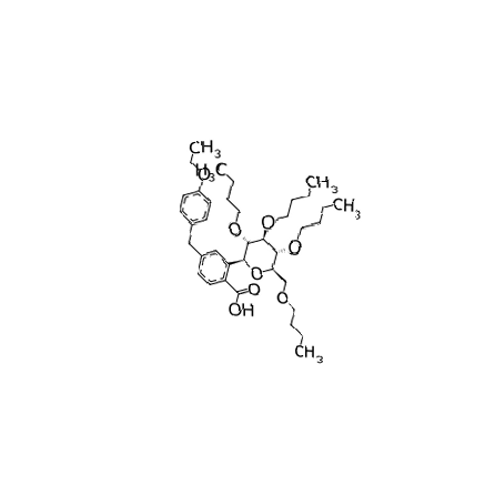 CCCCOC[C@H]1O[C@@H](c2cc(Cc3ccc(OCC)cc3)ccc2C(=O)O)[C@H](OCCCC)[C@@H](OCCCC)[C@@H]1OCCCC